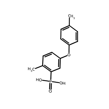 Cc1ccc(Oc2ccc(C)c(P(=O)(O)O)c2)cc1